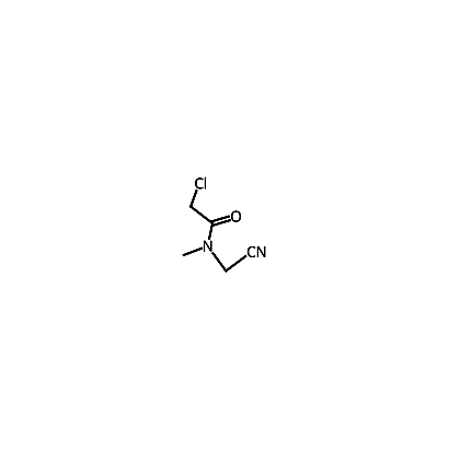 CN(CC#N)C(=O)CCl